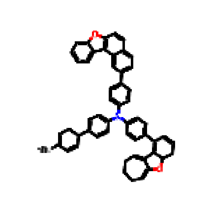 CCCCC1=CCC(c2ccc(N(c3ccc(C4=C5C6=CCCCC=C6OC5CC=C4)cc3)c3ccc(-c4ccc5ccc6oc7ccccc7c6c5c4)cc3)cc2)C=C1